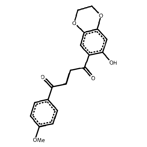 COc1ccc(C(=O)CCC(=O)c2cc3c(cc2O)OCCO3)cc1